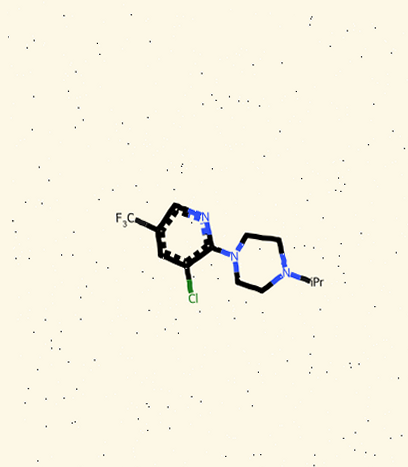 CC(C)N1CCN(c2ncc(C(F)(F)F)cc2Cl)CC1